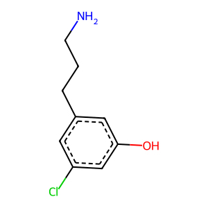 NCCCc1cc(O)cc(Cl)c1